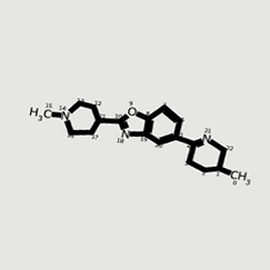 CC1CCC(c2ccc3oc(C4CCN(C)CC4)nc3c2)=NC1